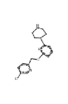 Clc1ccc(COc2cccc(N3CCNCC3)n2)nc1